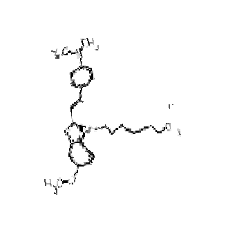 CCCCCCC[n+]1c(/C=C/c2ccc(N(C)C)cc2)sc2cc(OC)ccc21.[I-]